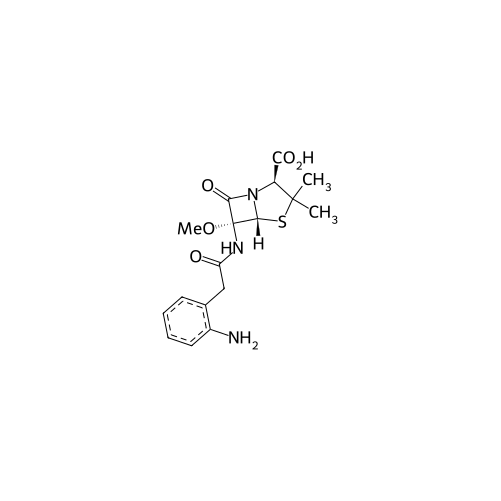 CO[C@]1(NC(=O)Cc2ccccc2N)C(=O)N2[C@@H](C(=O)O)C(C)(C)S[C@@H]21